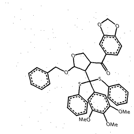 COc1cc(C(Sc2ccccc2)(Sc2ccccc2)C2C(OCc3ccccc3)OCC2C(=O)c2ccc3c(c2)OCO3)cc(OC)c1OC